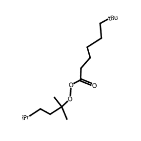 CC(C)CCC(C)(C)OOC(=O)CCCCCC(C)(C)C